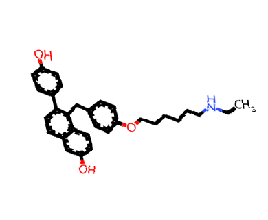 CCNCCCCCCOc1ccc(Cc2c(-c3ccc(O)cc3)ccc3cc(O)ccc23)cc1